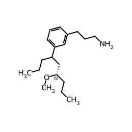 CCCC(C[C@H](CCC)OC)c1cccc(CCCN)c1